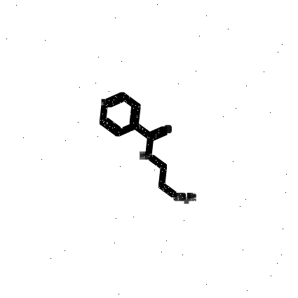 CCOC(=O)CCNC(=O)c1ccncc1